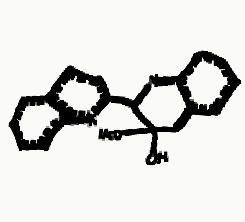 COC1(O)C=c2ccccc2=NC1c1ccc2ccccc2n1